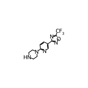 FC(F)(F)c1nc(-c2ccc(N3CCNCC3)nc2)no1